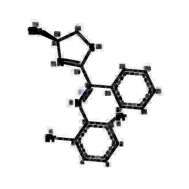 CC(C)c1cccc(C(C)C)c1/N=C(/C1=N[C@@H](C(C)(C)C)CS1)c1ccccc1